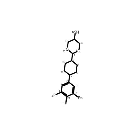 Fc1cc(C2CCC(C3OCC(S)CO3)CC2)cc(F)c1F